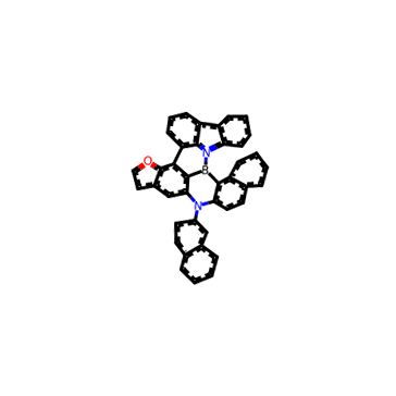 c1ccc2cc(N3c4cc5ccoc5c5c4B(c4c3ccc3ccccc43)n3c4ccccc4c4cccc-5c43)ccc2c1